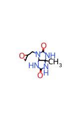 CC12NC(=O)NC1N(CC1CO1)C(=O)N2